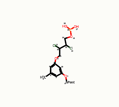 CCCCCOc1cc(C)cc(OCC(Cl)C(Cl)COP(O)O)c1